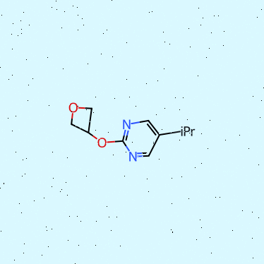 CC(C)c1cnc(OC2COC2)nc1